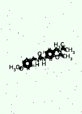 COc1ccc(CNC(=O)Nc2ccc(CN(C(C)=O)C(C)C)cc2)cc1